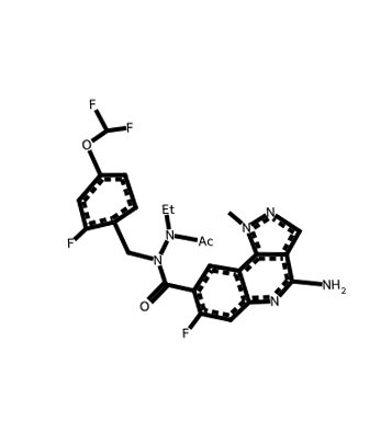 CCN(C(C)=O)N(Cc1ccc(OC(F)F)cc1F)C(=O)c1cc2c(cc1F)nc(N)c1cnn(C)c12